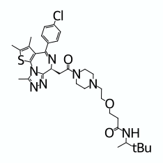 Cc1sc2c(c1C)C(c1ccc(Cl)cc1)=N[C@@H](CC(=O)N1CCN(CCOCCC(=O)NC(C)C(C)(C)C)CC1)c1nnc(C)n1-2